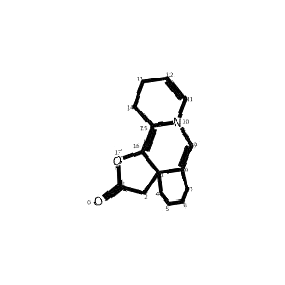 O=C1CC23CCCCC2=CN2C=CCCC2=C3O1